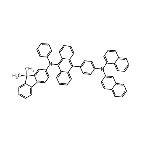 CC1(C)c2ccccc2-c2ccc(N(c3ccccc3)c3c4ccccc4c(-c4ccc(N(c5ccc6ccccc6c5)c5cccc6ccccc56)cc4)c4ccccc34)cc21